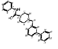 O=C(Nc1ccccc1)N1CCN(Cc2cccc(-c3ccccc3)c2)CC1